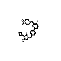 O=C1CN(Cc2ccc(-c3ccc(F)c(CN4CCS(=O)(=O)CC4)n3)cc2)C(=O)N1C1CCC1